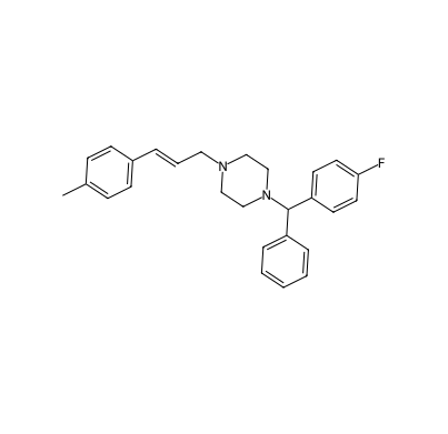 Cc1ccc(/C=C/CN2CCN(C(c3ccccc3)c3ccc(F)cc3)CC2)cc1